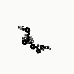 COc1cccc(CNC[C@@H](O)[C@@](C)(NC(=O)c2cccc(C(=O)N3CCC[C@H]3c3nc(C)cs3)c2)c2ccccc2)c1